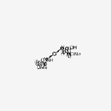 COC(=O)N[C@H](C(=O)N1C[C@@H](C)C[C@H]1c1ncc(C#Cc2ccc(C#Cc3cnc([C@@H]4C[C@H](CO)CN4C(=O)[C@@H](NC(=O)OC)C(C)C)[nH]3)cc2)[nH]1)C(C)C